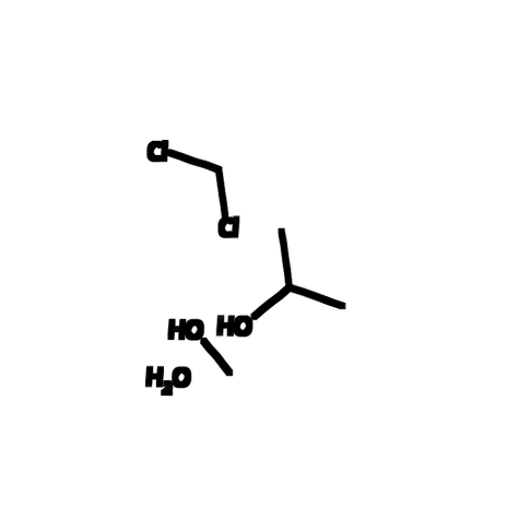 CC(C)O.CO.ClCCl.O